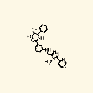 CC(O)C(NC(=O)c1cccc(NCc2nnc(-c3ccncn3)n2C)c1)c1ccccc1